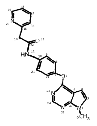 Cn1ccc2c(Oc3ccc(NC(=O)Cc4ccccn4)cc3)ncnc21